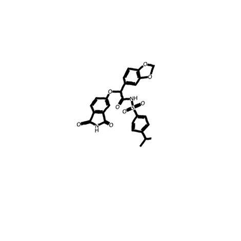 CC(C)c1ccc(S(=O)(=O)NC(=O)C(Oc2ccc3c(c2)C(=O)NC3=O)c2ccc3c(c2)OCO3)cc1